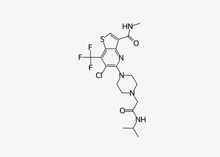 CNC(=O)c1csc2c(C(F)(F)F)c(Cl)c(N3CCN(CC(=O)NC(C)C)CC3)nc12